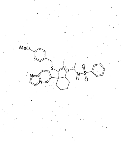 CN=C(SCc1ccc(OC)cc1)C1(c2ccc3nccn3c2)CCCCC1OC(C)NS(=O)(=O)c1ccccc1